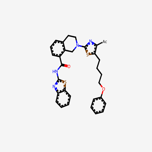 CC(=O)c1nc(N2CCc3cccc(C(=O)Nc4nc5ccccc5s4)c3C2)sc1CCCCOc1ccccc1